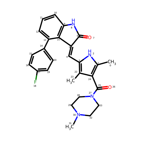 Cc1[nH]c(/C=C2\C(=O)Nc3cccc(-c4ccc(F)cc4)c32)c(C)c1C(=O)N1CCN(C)CC1